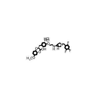 COc1ccc(O[C@@H](Cc2ccc(OCCN[C@H]3C4CN(Cc5cc(F)c(F)cc5F)C[C@@H]43)cc2)C(=O)O)cc1.Cl.Cl